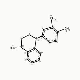 Cc1ccc([C@@H]2CC[C@@H](N)c3ccccc32)cc1C